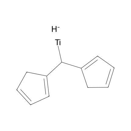 [H-].[Ti][CH](C1=CC=CC1)C1=CC=CC1